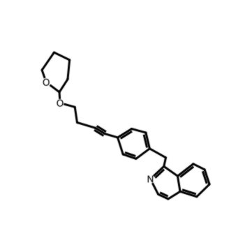 C(#Cc1ccc(Cc2nccc3ccccc23)cc1)CCOC1CCCCO1